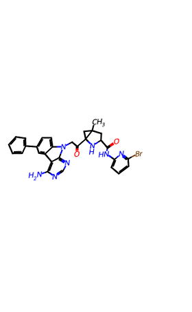 CC12CC(C(=O)Nc3cccc(Br)n3)NC1(C(=O)Cn1c3ccc(-c4ccccc4)cc3c3c(N)ncnc31)C2